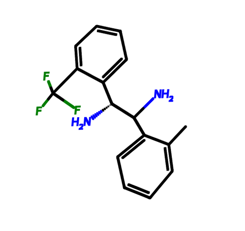 Cc1ccccc1C(N)[C@H](N)c1ccccc1C(F)(F)F